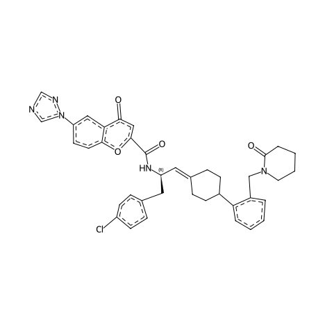 O=C(N[C@@H](C=C1CCC(c2ccccc2CN2CCCCC2=O)CC1)Cc1ccc(Cl)cc1)c1cc(=O)c2cc(-n3cncn3)ccc2o1